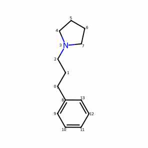 [CH](CCN1CCCC1)c1ccccc1